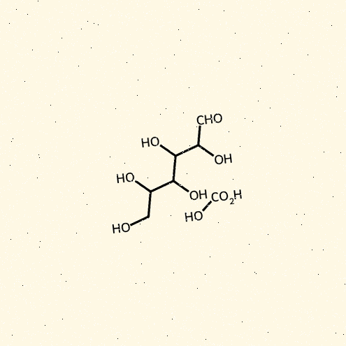 O=C(O)O.O=CC(O)C(O)C(O)C(O)CO